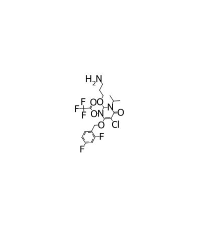 CC(C)N1C(=O)C(Cl)=C(OCc2ccc(F)cc2F)N(OC(=O)C(F)(F)F)C1OCCCN